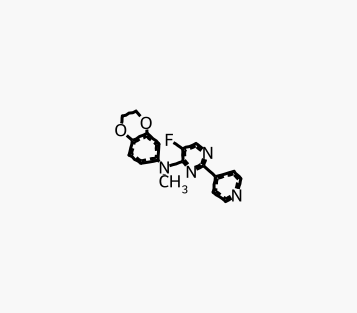 CN(c1ccc2c(c1)OCCO2)c1nc(-c2ccncc2)ncc1F